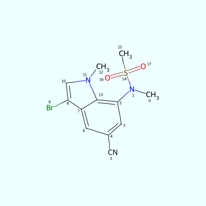 CN(c1cc(C#N)cc2c(Br)cn(C)c12)S(C)(=O)=O